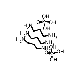 NCCCN.NCCCN.NCCCN.O=P(O)(O)O.O=P(O)(O)O